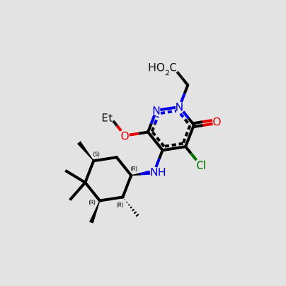 CCOc1nn(CC(=O)O)c(=O)c(Cl)c1N[C@@H]1C[C@H](C)C(C)(C)[C@H](C)[C@H]1C